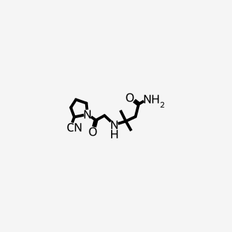 CC(C)(CC(N)=O)NCC(=O)N1CCCC1C#N